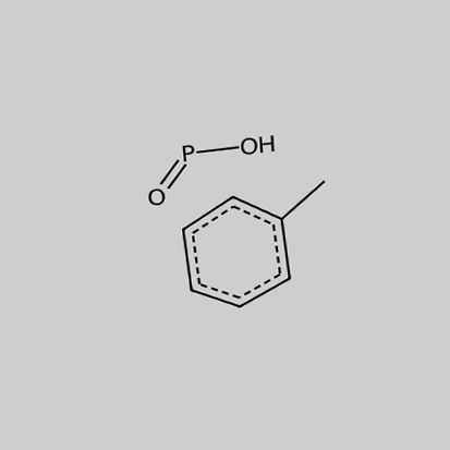 Cc1ccccc1.O=PO